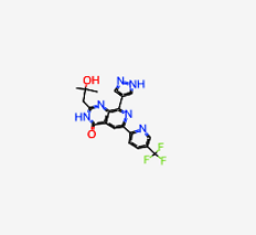 CC(C)(O)Cc1nc2c(-c3cn[nH]c3)nc(-c3ccc(C(F)(F)F)cn3)cc2c(=O)[nH]1